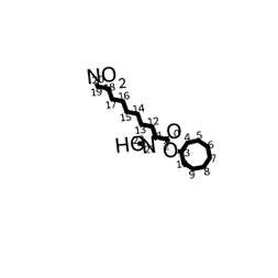 O=C(OC1CCCCCCC1)C(CCCCCCCC[N+](=O)[O-])=NO